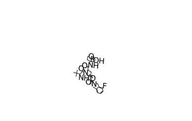 CC(C)(C)C(N)C(=O)N1C[C@H](OC(=O)N2Cc3cccc(F)c3C2)CC1C(=O)NC1CCOB1O